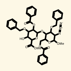 COC(=O)C1OC(OC2C(COC(=O)c3ccccc3)OC(OC)C(N=[N+]=[N-])C2OCc2ccccc2)C(OC(=O)c2ccccc2)C(OCc2ccccc2)C1O